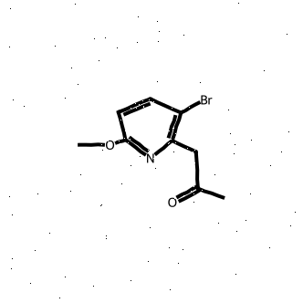 COc1ccc(Br)c(CC(C)=O)n1